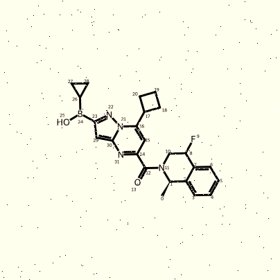 C[C@@H]1c2ccccc2C(F)CN1C(=O)c1cc(C2CCC2)n2nc(B(O)C3CC3)cc2n1